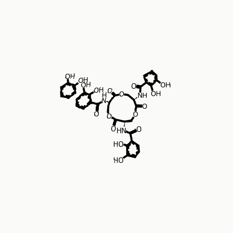 O=C(N[C@H]1COC(=O)[C@@H](NC(=O)c2cccc(O)c2O)COC(=O)[C@@H](NC(=O)c2cccc(O)c2O)COC1=O)c1cccc(O)c1O.Oc1ccccc1O